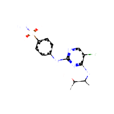 CCC(Nc1nc(Nc2ccc(S(N)(=O)=O)cc2)ncc1Br)C(C)O